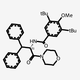 COc1c(C(C)(C)C)cc(C(=O)N[C@H](C(=O)N2CCOCC2)C(c2ccccc2)c2ccccc2)cc1C(C)(C)C